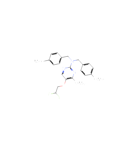 COc1ccc(CN(Cc2ccc(OC)cc2)c2ncc(OCC(F)F)c(OC)n2)cc1